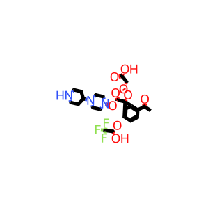 CC(=O)c1cccc2c1C2(OOCC(=O)O)C(=O)ON1CCN(C2CCNCC2)CC1.O=C(O)C(F)(F)F